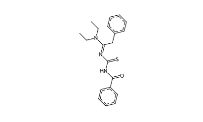 CCN(CC)/C(Cc1ccccc1)=N/C(=S)NC(=O)c1ccccc1